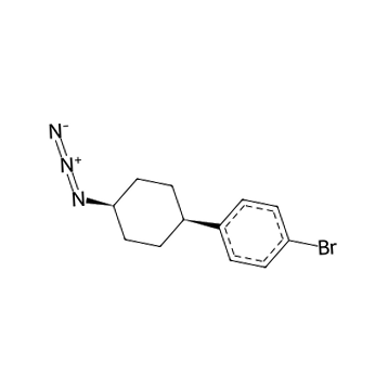 [N-]=[N+]=N[C@H]1CC[C@@H](c2ccc(Br)cc2)CC1